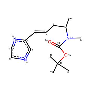 CC(CC=Cc1cnccn1)N(C)C(=O)OC(C)(C)C